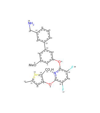 COc1cc(Oc2nc(Oc3cc(C)sc3C(=O)O)c(F)cc2F)cc(-c2cccc(CN)c2)c1